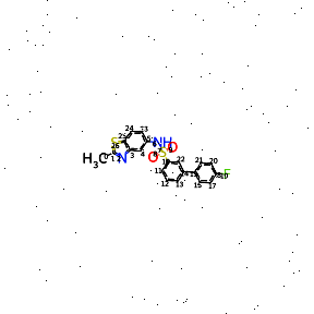 Cc1nc2cc(NS(=O)(=O)c3cccc(-c4ccc(F)cc4)c3)ccc2s1